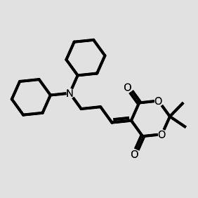 CC1(C)OC(=O)C(=CCCN(C2CCCCC2)C2CCCCC2)C(=O)O1